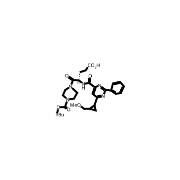 CCCCOC(=O)N1CCN(C(=O)[C@H](CCC(=O)O)NC(=O)c2cc(C3CC3COC)nc(-c3ccccc3)n2)CC1